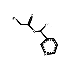 CC(C)CC(=O)OC(c1cccnc1)C(Cl)(Cl)Cl